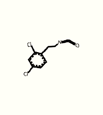 O=C=NCCc1ccc(Cl)cc1Cl